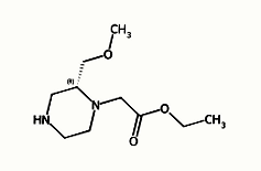 CCOC(=O)CN1CCNC[C@@H]1COC